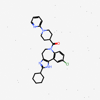 O=C(C1CCN(c2ccccn2)CC1)N1CCc2nc(C3CCCCC3)[nH]c2-c2cc(Cl)ccc21